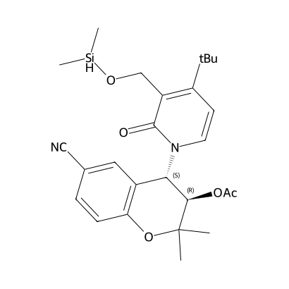 CC(=O)O[C@@H]1[C@@H](n2ccc(C(C)(C)C)c(CO[SiH](C)C)c2=O)c2cc(C#N)ccc2OC1(C)C